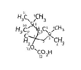 CC(C[Si](C)(C)C)(C[Si](C)(C)C)OC(=O)O